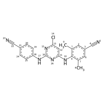 Cc1cc(C#N)cc(C)c1Nc1cc(Cl)nc(Nc2ccc(C#N)cc2)n1